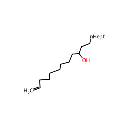 C=CCCCCCCCC(O)CCCCCCCCC